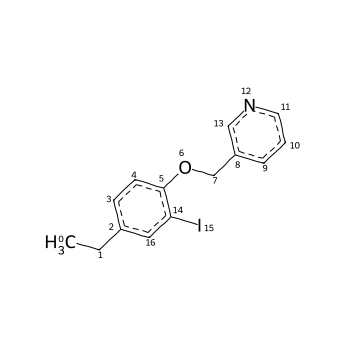 CCc1ccc(OCc2cccnc2)c(I)c1